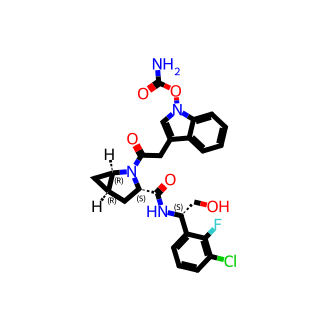 NC(=O)On1cc(CC(=O)N2[C@@H]3C[C@@H]3C[C@H]2C(=O)N[C@H](CO)c2cccc(Cl)c2F)c2ccccc21